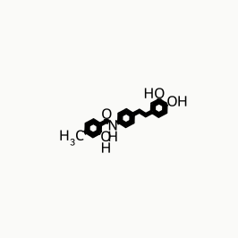 Cc1ccc(C(=O)Nc2ccc(CCc3ccc(O)c(O)c3)cc2)c(O)c1